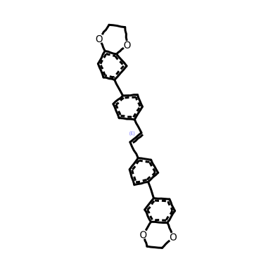 C(=C\c1ccc(-c2ccc3c(c2)OCCO3)cc1)/c1ccc(-c2ccc3c(c2)OCCO3)cc1